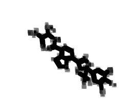 CC(NC(=O)c1ccc(C2=NOC(c3cc(Cl)c(F)c(Cl)c3)(C(F)(F)F)C2)c2sccc12)C(N)=O